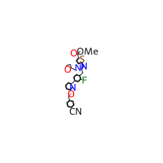 COC(=O)c1cc2c(nc(Cc3ccc(-c4cccc(OCc5ccc(C#N)cc5)n4)cc3F)n2CC2CCO2)s1